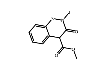 COC(=O)C1C(=O)N(I)Sc2ccccc21